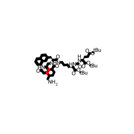 CC(C)(C)OC(=O)CC[C@H](NC(=O)N[C@@H](CCCCNC(=O)[C@H](Cc1ccc2ccccc2c1)N(Cc1cccc(=O)[nH]1)C(=O)C1CCC(CN)CC1)C(=O)OC(C)(C)C)C(=O)OC(C)(C)C